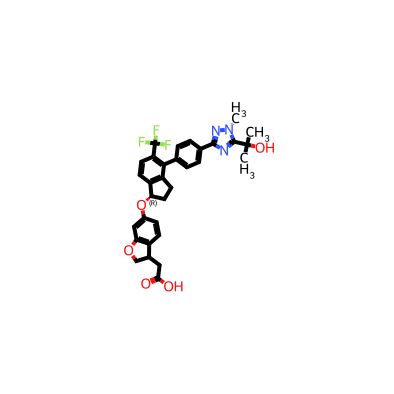 Cn1nc(-c2ccc(-c3c(C(F)(F)F)ccc4c3CC[C@H]4Oc3ccc4c(c3)OCC4CC(=O)O)cc2)nc1C(C)(C)O